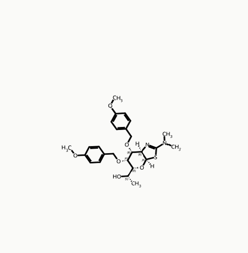 COc1ccc(CO[C@@H]2[C@H](OCc3ccc(OC)cc3)[C@H]3N=C(N(C)C)S[C@H]3O[C@@H]2[C@H](C)O)cc1